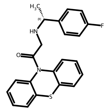 C[C@@H](NCC(=O)N1c2ccccc2Sc2ccccc21)c1ccc(F)cc1